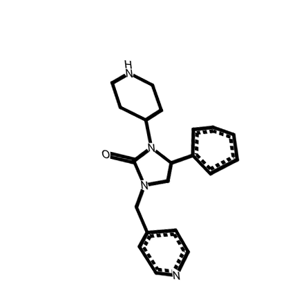 O=C1N(Cc2ccncc2)CC(c2ccccc2)N1C1CCNCC1